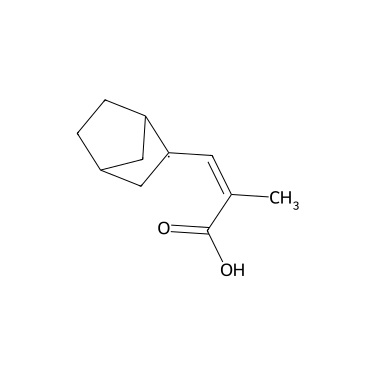 CC(=C[C]1CC2CCC1C2)C(=O)O